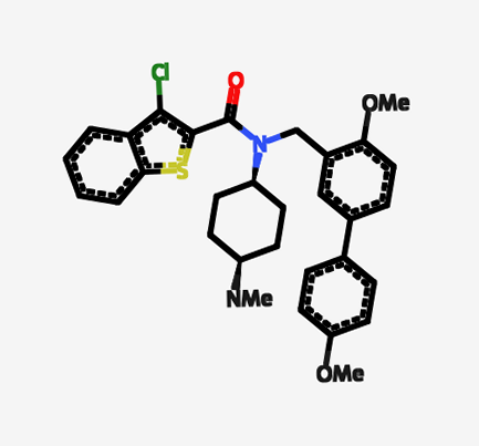 CN[C@H]1CC[C@@H](N(Cc2cc(-c3ccc(OC)cc3)ccc2OC)C(=O)c2sc3ccccc3c2Cl)CC1